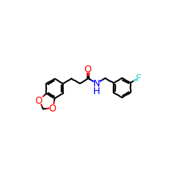 O=C(CCc1ccc2c(c1)OCO2)NCc1cccc(F)c1